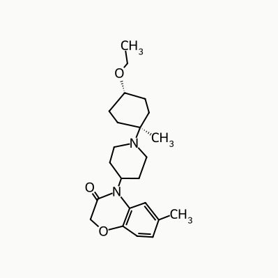 CCO[C@H]1CC[C@](C)(N2CCC(N3C(=O)COc4ccc(C)cc43)CC2)CC1